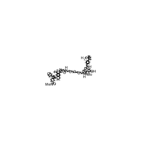 CNC(=O)N1CCc2c(c(N3CCCc4cc(-c5cnn(CC(=O)NCCOCCOCCOCCC(=O)N[C@H](C(=O)N6C[C@H](O)C[C@H]6C(=O)NCc6ccc(-c7scnc7C)cc6)C(C)(C)C)c5)c(C(F)F)cc43)nn2C2CCOCC2)C1